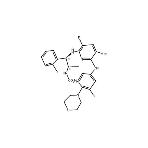 C[C@H](NC(=O)O)[C@H](Nc1nc(Nc2cnc(N3CCOCC3)c(F)c2)c(C#N)cc1F)c1ccccc1F